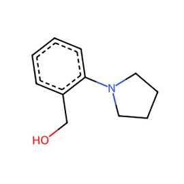 OCc1ccccc1N1CCCC1